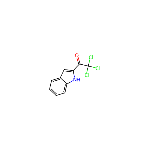 O=C(c1cc2ccccc2[nH]1)C(Cl)(Cl)Cl